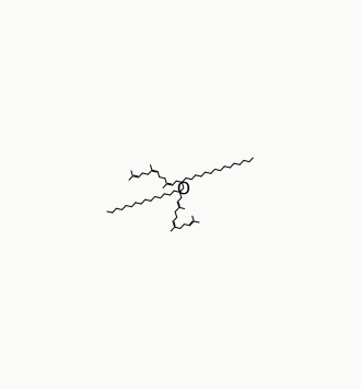 CCCCCCCCCCCCCCCC(CC=C(C)CCC=C(C)CCC=C(C)C)OC(CC=C(C)CCC=C(C)CCC=C(C)C)CCCCCCCCCCCCCCC